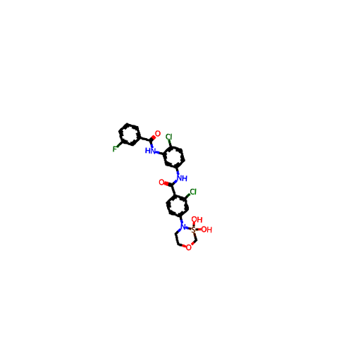 O=C(Nc1cc(NC(=O)c2ccc(N3CCOCS3(O)O)cc2Cl)ccc1Cl)c1cccc(F)c1